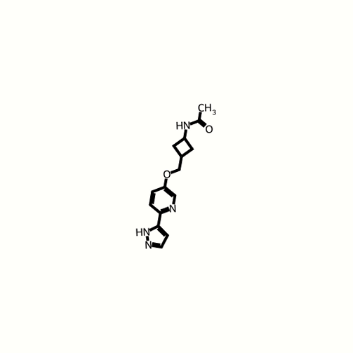 CC(=O)NC1CC(COc2ccc(-c3ccn[nH]3)nc2)C1